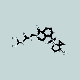 CC(C)OC(=O)OCn1ccc2c(S(=O)(=O)N3CC[C@@H](N)C34CC4)cccc2c1=O